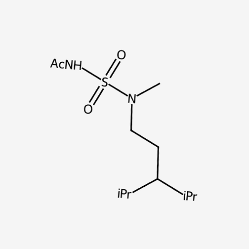 CC(=O)NS(=O)(=O)N(C)CCC(C(C)C)C(C)C